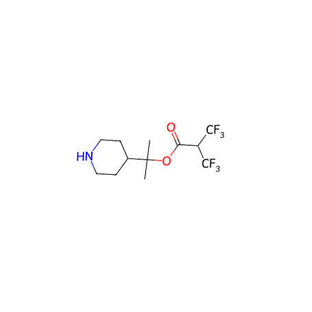 CC(C)(OC(=O)C(C(F)(F)F)C(F)(F)F)C1CCNCC1